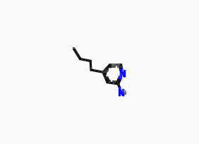 CCCCc1ccnc([N])c1